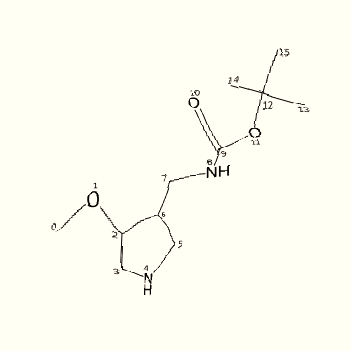 COC1CNCC1CNC(=O)OC(C)(C)C